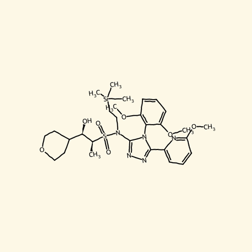 COc1cccc(-c2nnc(N(CC[Si](C)(C)C)S(=O)(=O)[C@@H](C)[C@H](O)C3CCOCC3)n2-c2c(OC)cccc2OC)n1